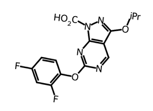 CC(C)Oc1nn(C(=O)O)c2nc(Oc3ccc(F)cc3F)ncc12